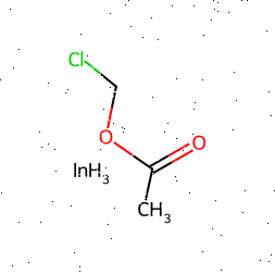 CC(=O)OCCl.[InH3]